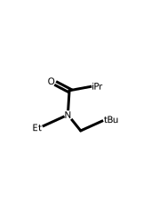 CCN(CC(C)(C)C)C(=O)C(C)C